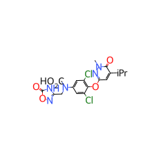 CC(C)c1cc(Oc2c(Cl)cc(N(Cc3noc(=O)[nH]3)C(=O)O)cc2Cl)nn(C)c1=O